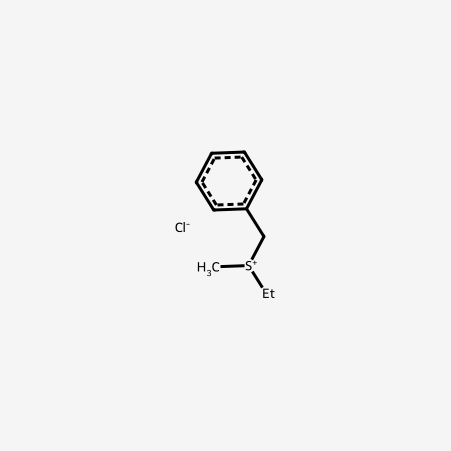 CC[S+](C)Cc1ccccc1.[Cl-]